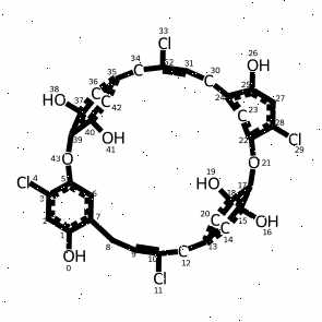 Oc1cc(Cl)c2cc1C/C=C(/Cl)Cc1cc(O)c(c(O)c1)Oc1cc(c(O)cc1Cl)C/C=C(/Cl)Cc1cc(O)c(c(O)c1)O2